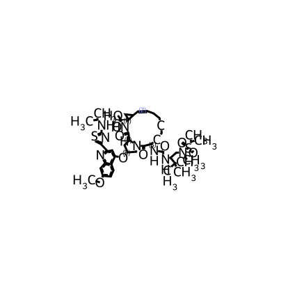 COc1ccc2c(O[C@@H]3C[C@H]4C(=O)N[C@]5(C(=O)O)CC5/C=C\CCCCC[C@H](NC(=O)NC(CN(C)S(=O)(=O)C(C)C)C(C)(C)C)C(=O)N4C3)cc(-c3csc(NC(C)C)n3)nc2c1